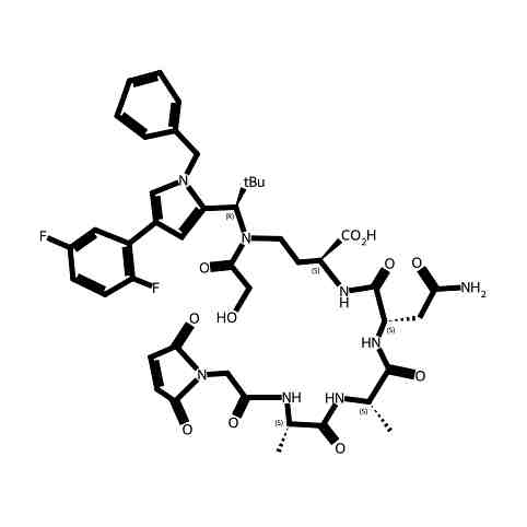 C[C@H](NC(=O)CN1C(=O)C=CC1=O)C(=O)N[C@@H](C)C(=O)N[C@@H](CC(N)=O)C(=O)N[C@@H](CCN(C(=O)CO)[C@@H](c1cc(-c2cc(F)ccc2F)cn1Cc1ccccc1)C(C)(C)C)C(=O)O